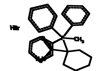 Br.CP(c1ccccc1)(c1ccccc1)(c1ccccc1)C1(C(N)=O)CCCCC1